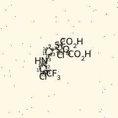 O=C(O)COc1c(C(=O)O)sc(-c2cccc(CNc3ccc(Cl)c(C(F)(F)F)c3)c2)c1Cl